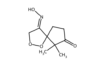 CC1(C)C(=O)CCC12OOCC2=NO